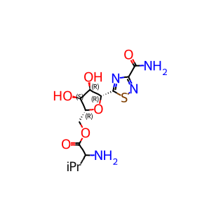 CC(C)C(N)C(=O)OC[C@H]1O[C@@H](c2nc(C(N)=O)ns2)[C@H](O)[C@@H]1O